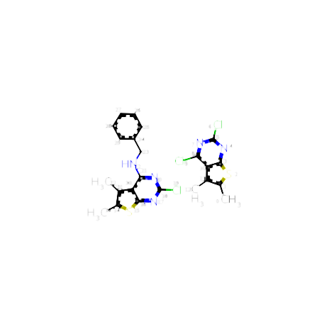 Cc1sc2nc(Cl)nc(Cl)c2c1C.Cc1sc2nc(Cl)nc(NCc3ccccc3)c2c1C